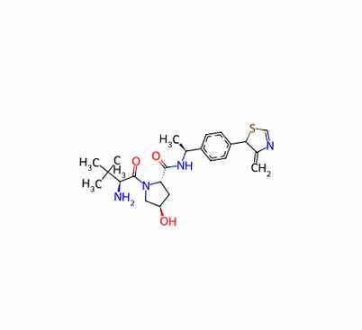 C=C1N=CSC1c1ccc([C@H](C)NC(=O)[C@@H]2C[C@@H](O)CN2C(=O)[C@@H](N)C(C)(C)C)cc1